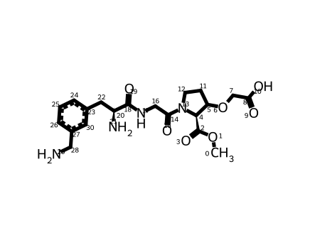 COC(=O)[C@@H]1C(OCC(=O)O)CCN1C(=O)CNC(=O)[C@@H](N)Cc1cccc(CN)c1